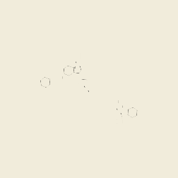 O=C1c2ccccc2C(=O)N1CCCCCCCN1CC=C(c2c[nH]c3ccc(OCc4ccccc4)cc23)CC1